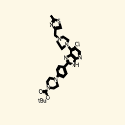 Cc1nc(CN2CCN(c3c(Cl)cnc4[nH]c(-c5ccc(N6CCN(C(=O)OC(C)(C)C)CC6)cc5)nc34)CC2)cs1